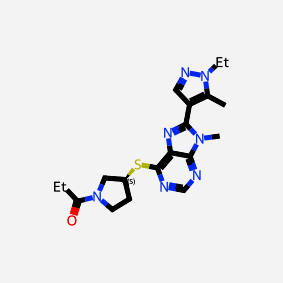 CCC(=O)N1CC[C@H](Sc2ncnc3c2nc(-c2cnn(CC)c2C)n3C)C1